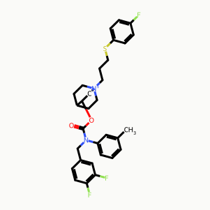 Cc1cccc(N(Cc2ccc(F)c(F)c2)C(=O)OC2C[N+]3(CCCSc4ccc(F)cc4)CCC2CC3)c1